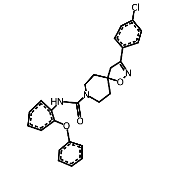 O=C(Nc1ccccc1Oc1ccccc1)N1CCC2(CC1)CC(c1ccc(Cl)cc1)=NO2